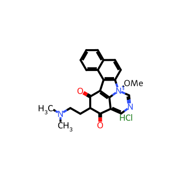 CO[N+]12C=NC=C3C(=O)C(CCN(C)C)C(=O)C(=C31)c1c2ccc2ccccc12.Cl